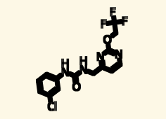 O=C(NCc1ccnc(OCC(F)(F)F)n1)Nc1cccc(Cl)c1